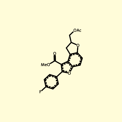 COC(=O)c1c(-c2ccc(F)cc2)oc2ccc3c(c12)CC(COC(C)=O)O3